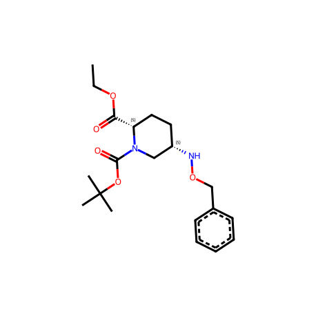 CCOC(=O)[C@@H]1CC[C@H](NOCc2ccccc2)CN1C(=O)OC(C)(C)C